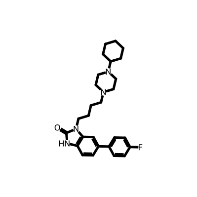 O=c1[nH]c2ccc(-c3ccc(F)cc3)cc2n1CCCCN1CCN(C2CCCCC2)CC1